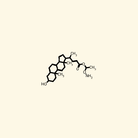 CC(ON)OC(=O)CCC(C)C1CCC2C3CCC4CC(O)CCC4(C)C3CCC12C